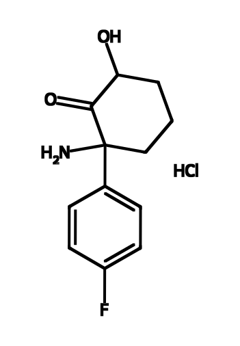 Cl.NC1(c2ccc(F)cc2)CCCC(O)C1=O